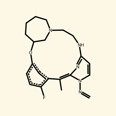 C=NN1C=CC2=N/C1=C(/C)c1cc(ccc1F)OC1CCCCN(CCN2)C1